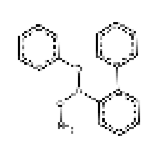 NOB(Oc1ccccc1)c1ccccc1-c1ccccc1